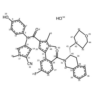 Cc1c(C(=O)N(c2ccc(O)cc2)c2cc(C#N)n(C)c2)cc(-c2cc(F)ccc2C(=O)N2Cc3ccccc3C[C@H]2CN2CCOCC2)n1C.Cl